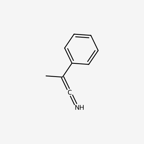 CC(=C=N)c1ccccc1